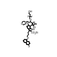 CCOC(=O)c1[nH]c2c(-c3c(C(CCN4CCOCC4)OCC(F)(F)CCO)nn(C)c3CC)c(Cl)ccc2c1CCCOc1cccc2cc(F)ccc12